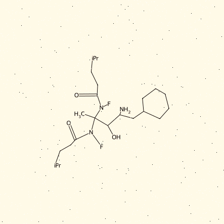 CC(C)CCC(=O)N(F)C(C)(C(O)C(N)CC1CCCCC1)N(F)C(=O)CCC(C)C